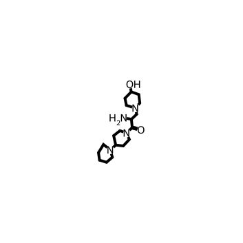 NC(CN1CCC(O)CC1)C(=O)N1CCC(N2CCCCC2)CC1